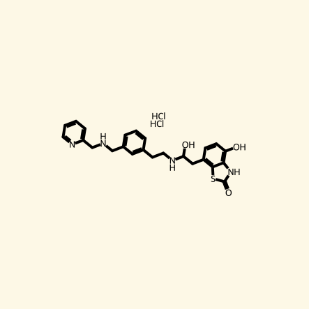 Cl.Cl.O=c1[nH]c2c(O)ccc(CC(O)NCCc3cccc(CNCc4ccccn4)c3)c2s1